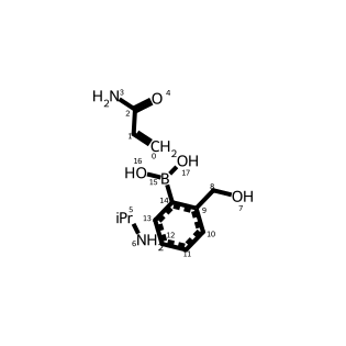 C=CC(N)=O.CC(C)N.OCc1ccccc1B(O)O